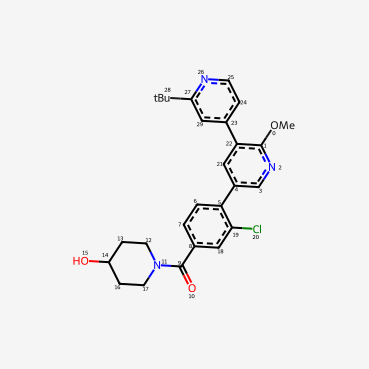 COc1ncc(-c2ccc(C(=O)N3CCC(O)CC3)cc2Cl)cc1-c1ccnc(C(C)(C)C)c1